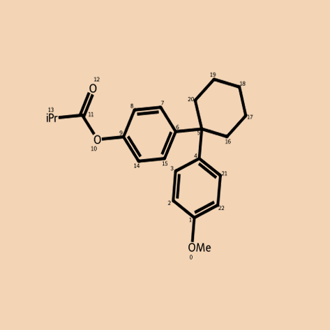 COc1ccc(C2(c3ccc(OC(=O)C(C)C)cc3)CCCCC2)cc1